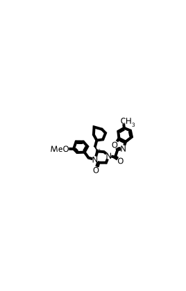 COc1cccc(CN2C(=O)CN(C(=O)c3nc4ccc(C)cc4o3)C[C@@H]2CC2CCCCC2)c1